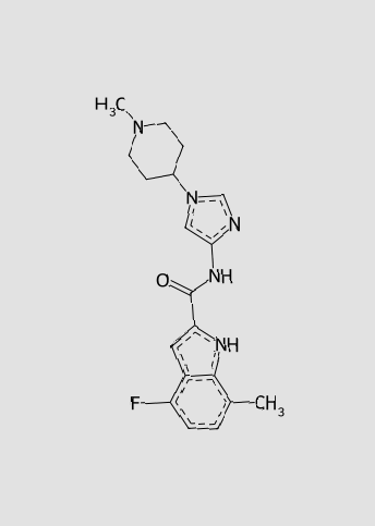 Cc1ccc(F)c2cc(C(=O)Nc3cn(C4CCN(C)CC4)cn3)[nH]c12